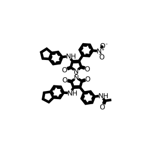 CC(=O)Nc1cccc(C2=C(Nc3ccc4c(c3)CCC4)C(=O)N(N3C(=O)C(Nc4ccc5c(c4)CCC5)=C(c4cccc([N+](=O)[O-])c4)C3=O)C2=O)c1